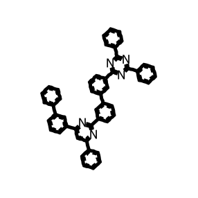 c1ccc(-c2cccc(-c3cc(-c4ccccc4)nc(-c4cccc(-c5cccc(-c6nc(-c7ccccc7)nc(-c7ccccc7)n6)c5)c4)n3)c2)cc1